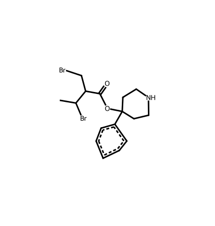 CC(Br)C(CBr)C(=O)OC1(c2ccccc2)CCNCC1